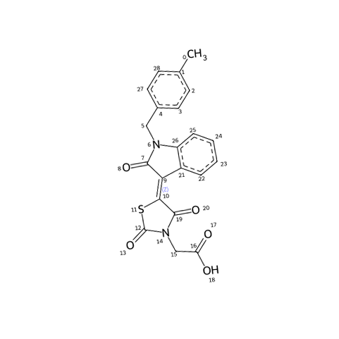 Cc1ccc(CN2C(=O)/C(=C3\SC(=O)N(CC(=O)O)C3=O)c3ccccc32)cc1